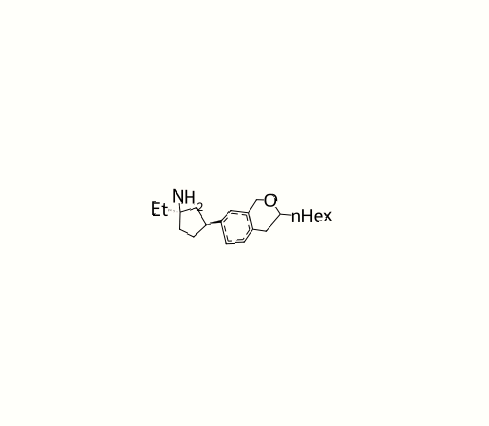 CCCCCCC1Cc2ccc([C@H]3CC[C@](N)(CC)C3)cc2CO1